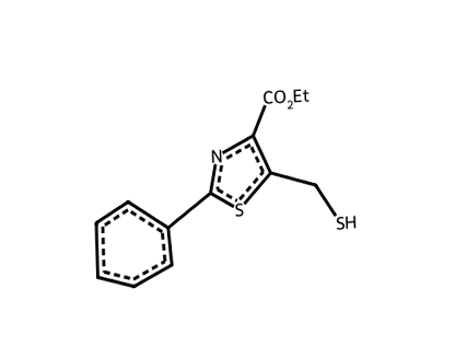 CCOC(=O)c1nc(-c2ccccc2)sc1CS